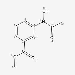 COC(=O)c1cccc(N(O)C(C)=O)c1